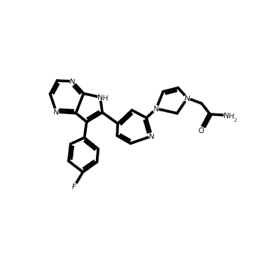 NC(=O)CN1C=CN(c2cc(-c3[nH]c4nccnc4c3-c3ccc(F)cc3)ccn2)C1